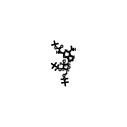 CNc1nc(NC(=O)OC(C)(C)C)nc2c1ncn2[C@@H]1O[C@H](CO[Si](C)(C)C(C)(C)C)[C@@H](O[Si](C)(C)C(C)(C)C)[C@]1(F)Cl